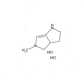 CN1C=C2NCCC2C1.Cl.Cl